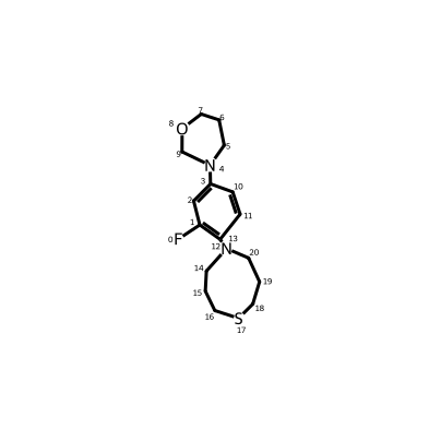 Fc1cc(N2CCCOC2)ccc1N1CCCSCCC1